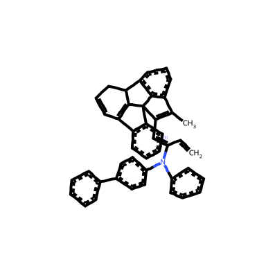 C=C/C(=C\C1=C(C)c2cccc3c2C12C1=C(C=CCC13)c1ccccc12)N(c1ccccc1)c1ccc(-c2ccccc2)cc1